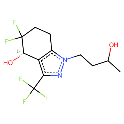 CC(O)CCn1nc(C(F)(F)F)c2c1CCC(F)(F)[C@H]2O